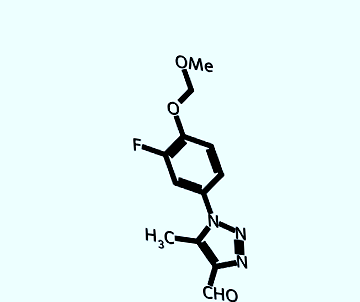 COCOc1ccc(-n2nnc(C=O)c2C)cc1F